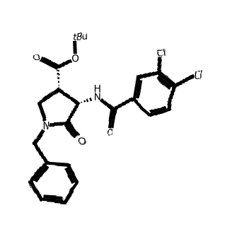 CC(C)(C)OC(=O)[C@H]1CN(Cc2ccccc2)C(=O)[C@H]1NC(=O)c1ccc(Cl)c(Cl)c1